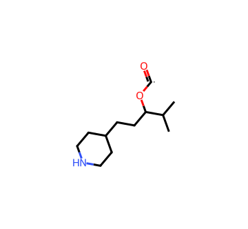 CC(C)C(CCC1CCNCC1)O[C]=O